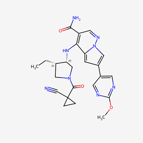 CC[C@H]1CN(C(=O)C2(C#N)CC2)C[C@H]1Nc1c(C(N)=O)cnn2cc(-c3cnc(OC)nc3)cc12